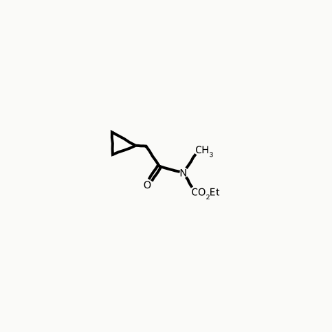 CCOC(=O)N(C)C(=O)CC1CC1